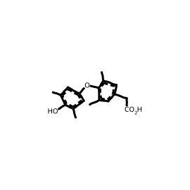 Cc1cc(Oc2c(C)cc(CC(=O)O)cc2C)cc(C)c1O